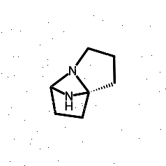 C1CN2C3CC[C@@]2(C1)N3